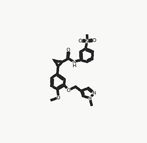 COc1ccc(C2CC2C(=O)Nc2cccc(S(C)(=O)=O)c2)cc1OCc1cnn(C)c1